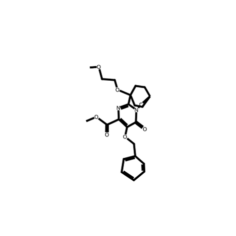 COCCOC12CCC(CC1)Cn1c2nc(C(=O)OC)c(OCc2ccccc2)c1=O